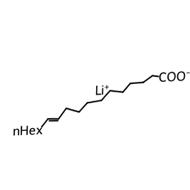 CCCCCC/C=C/CCCCCCCCCC(=O)[O-].[Li+]